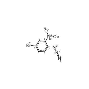 [N-]=[N+]=Nc1ccc(Br)cc1[N+](=O)[O-]